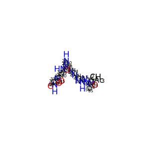 CC(=O)c1c(C)c2cnc(Nc3ccc(N4CCN(CCC5CNCCN5C(=O)Nc5ccc6c(c5)CN(C5CCC(=O)NC5=O)C6=O)CC4)cn3)nc2n(C2CCCC2)c1=O